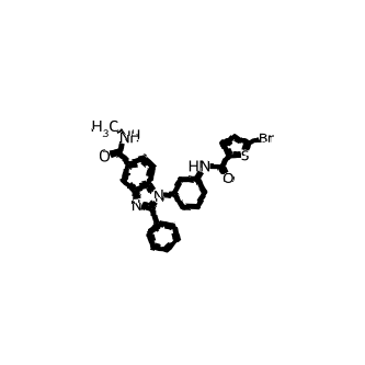 CNC(=O)c1ccc2c(c1)nc(-c1ccccc1)n2C1CCCC(NC(=O)c2ccc(Br)s2)C1